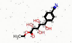 CCOC(=O)[C@H](O)[C@@H](O)[C@H](O)[C@@H](O)c1ccc(C#N)cc1